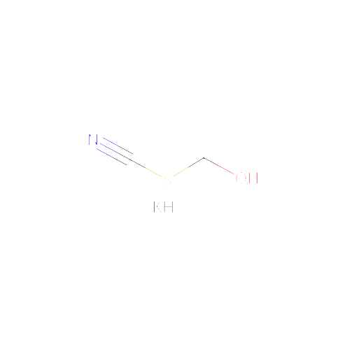 N#CSCO.[KH]